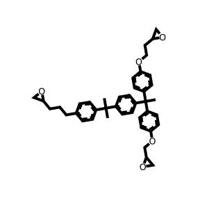 CC(C)(c1ccc(CCCC2CO2)cc1)c1ccc(C(C)(c2ccc(OCCC3CO3)cc2)c2ccc(OCC3CO3)cc2)cc1